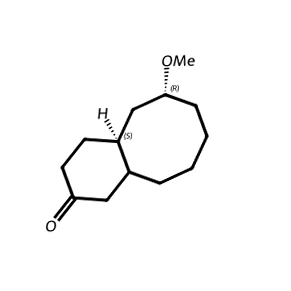 CO[C@@H]1CCCCC2CC(=O)CC[C@H]2C1